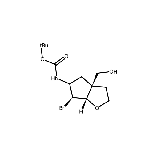 CC(C)(C)OC(=O)NC1C[C@]2(CO)CCO[C@@H]2[C@H]1Br